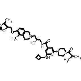 Cc1ncoc1COc1ccc2c(c1C)CCN(C[C@@H](O)CNC(=O)c1cc(NC3CCC3)nc(N3CCN(C(=O)C(C)C)CC3)c1)C2